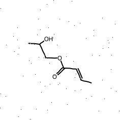 CC=CC(=O)O[CH]C(C)O